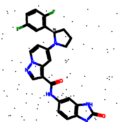 O=C(Nc1ccc2[nH]c(=O)[nH]c2c1)c1cnn2ccc(N3CCC[C@@H]3c3cc(F)ccc3F)cc12